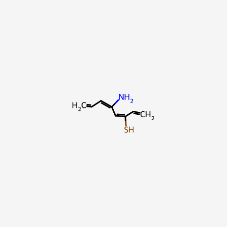 C=C/C=C(N)\C=C(\S)C=C